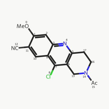 COc1cc2nc3c(c(Cl)c2cc1C#N)CN(C(C)=O)CC3